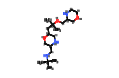 CC(C)(C)NCC1COC(CC(C)(C)OCC2COCCN2)CN1